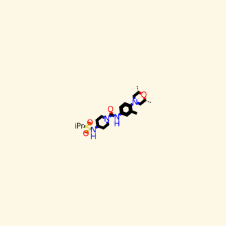 Cc1cc(NC(=O)N2CCC(NS(=O)(=O)C(C)C)CC2)ccc1N1C[C@@H](C)O[C@@H](C)C1